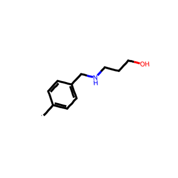 [CH2]c1ccc(CNCCCO)cc1